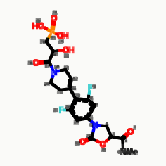 CNC(=O)C1CN(c2cc(F)c(C3=CCN(C(=O)[C@H](O)CP(=O)(O)O)CC3)c(F)c2)C(=O)O1